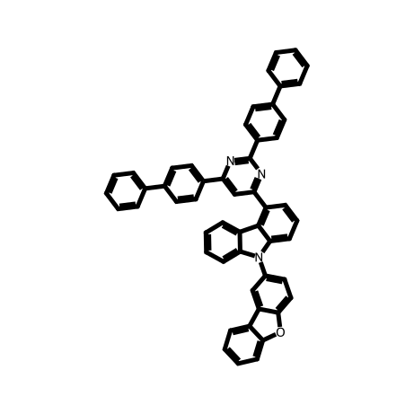 c1ccc(-c2ccc(-c3cc(-c4cccc5c4c4ccccc4n5-c4ccc5oc6ccccc6c5c4)nc(-c4ccc(-c5ccccc5)cc4)n3)cc2)cc1